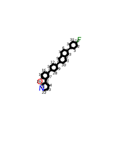 Fc1ccc(-c2ccc3cc(-c4ccc(-c5ccc6oc7ncccc7c6c5)cc4)ccc3c2)cc1